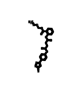 C=NOCOC(=O)c1ccccc1OC(=O)CCC(=O)Oc1ccc(-c2cc(=S)ss2)cc1